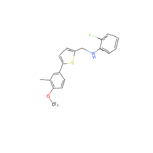 Cc1cc(-c2ccc(CNc3ccccc3F)s2)ccc1OC(F)(F)F